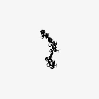 COc1cc2c(cc1OCCCC(=O)Nc1cc(C(=O)Nc3ccc(-c4cc(C(=O)N5CCCCC5)n(C)c4)cc3)n(C)c1)N=C[C@@H]1CCCN1C2=O